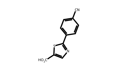 N#Cc1ccc(-c2ncc(C(=O)O)s2)cc1